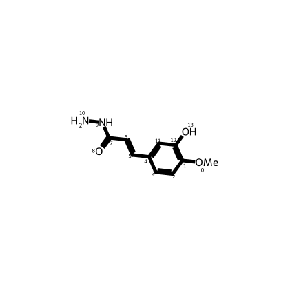 COc1ccc(C=CC(=O)NN)cc1O